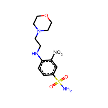 NS(=O)(=O)c1ccc(NCCN2CCOCC2)c([N+](=O)[O-])c1